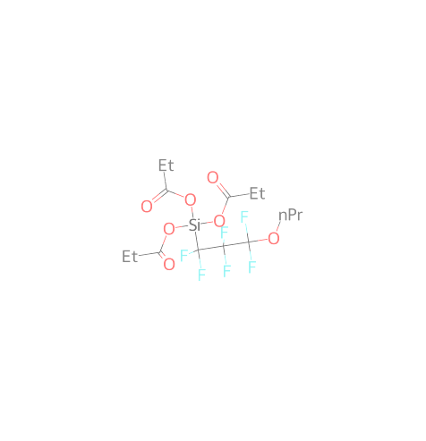 CCCOC(F)(F)C(F)(F)C(F)(F)[Si](OC(=O)CC)(OC(=O)CC)OC(=O)CC